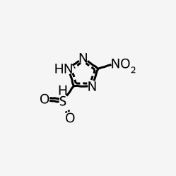 O=[N+]([O-])c1n[nH]c([SH](=O)=O)n1